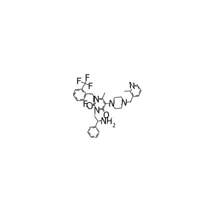 Cc1ncccc1CN1CCN(c2c(C)n(Cc3c(F)cccc3C(F)(F)F)c(=O)n(C[C@@H](N)c3ccccc3)c2=O)CC1